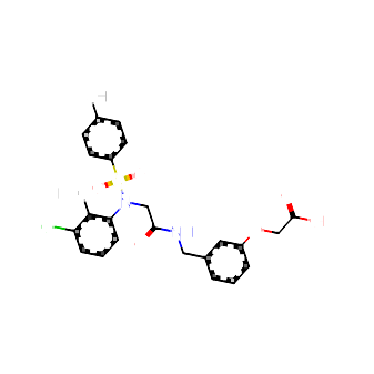 Cc1ccc(S(=O)(=O)N(CC(=O)NCc2cccc(OCC(=O)O)c2)c2cccc(Cl)c2C)cc1